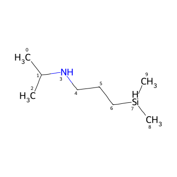 CC(C)NCCC[SiH](C)C